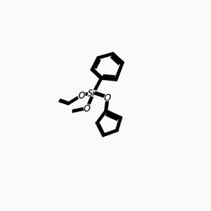 CCO[Si](OC)(OC1=CCCC1)c1ccccc1